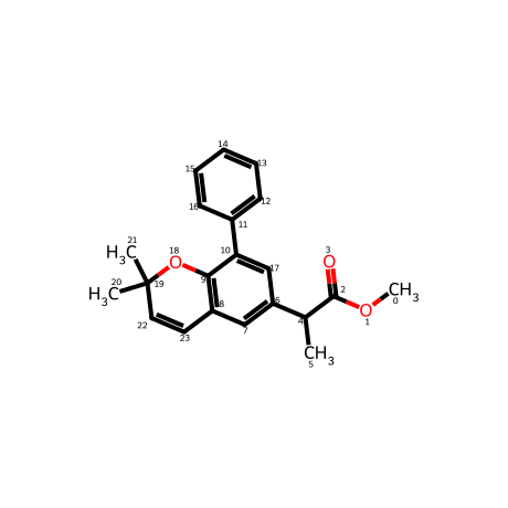 COC(=O)C(C)c1cc2c(c(-c3ccccc3)c1)OC(C)(C)C=C2